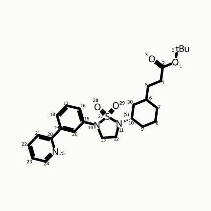 CC(C)(C)OC(=O)CCC1CCC[C@H](N2CCN(c3cccc(-c4ccccn4)c3)S2(=O)=O)C1